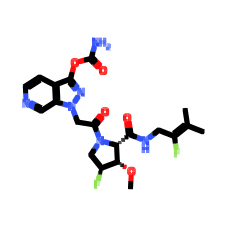 CO[C@H]1[C@@H](C(=O)NCC(F)=C(C)C)N(C(=O)Cn2nc(OC(N)=O)c3ccncc32)C[C@@H]1F